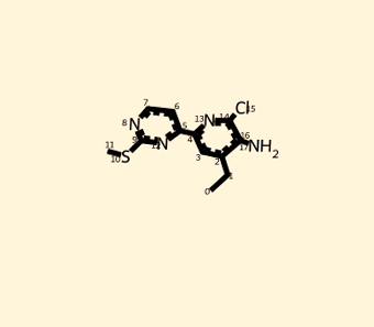 CCc1cc(-c2ccnc(SC)n2)nc(Cl)c1N